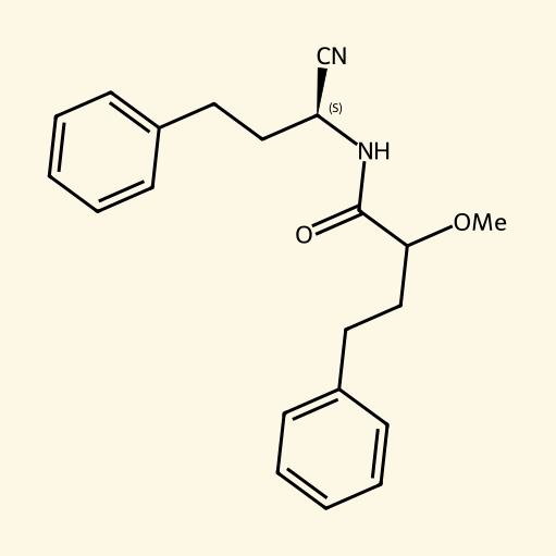 COC(CCc1ccccc1)C(=O)N[C@H](C#N)CCc1ccccc1